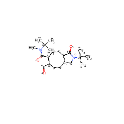 CN(C(=O)C1CCC2C(=O)N(C(C)(C)C)CC2CCC1C=O)C(C)(C)C